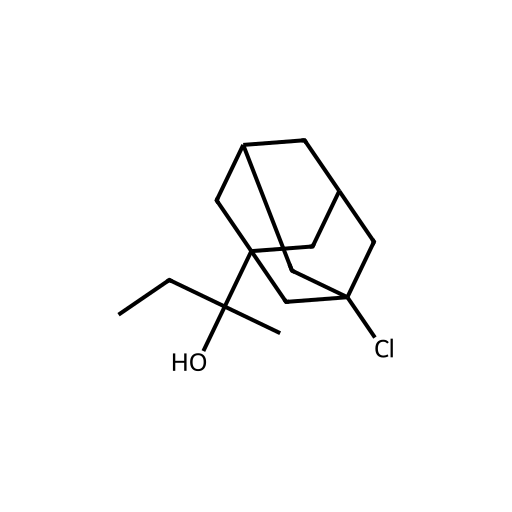 CCC(C)(O)C12CC3CC(CC(Cl)(C3)C1)C2